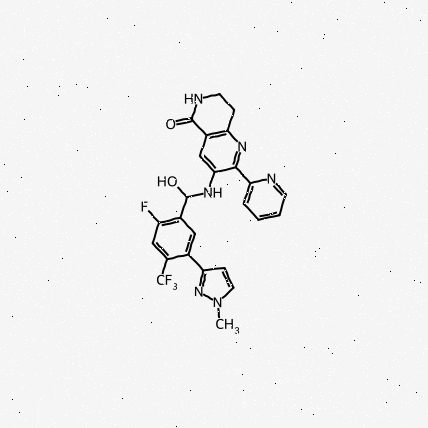 Cn1ccc(-c2cc(C(O)Nc3cc4c(nc3-c3ccccn3)CCNC4=O)c(F)cc2C(F)(F)F)n1